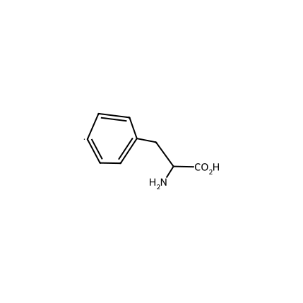 NC(Cc1cc[c]cc1)C(=O)O